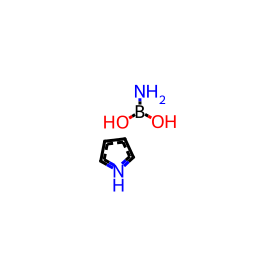 NB(O)O.c1cc[nH]c1